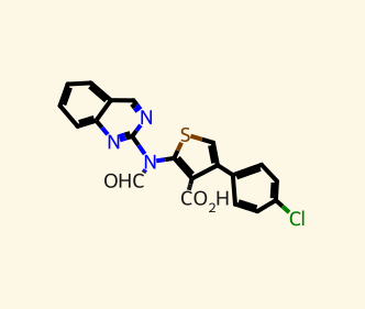 O=CN(c1ncc2ccccc2n1)c1scc(-c2ccc(Cl)cc2)c1C(=O)O